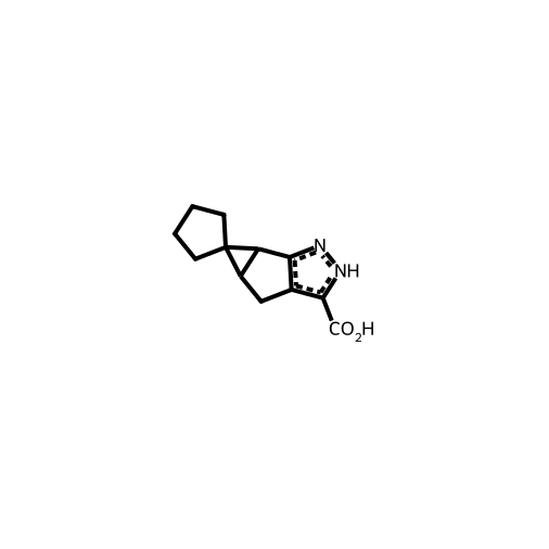 O=C(O)c1[nH]nc2c1CC1C2C12CCCC2